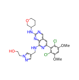 COc1cc(OC)c(Cl)c(-c2cc3cnc(NC4CCCOC4)nc3c(NCc3cnn(CCO)c3)n2)c1Cl